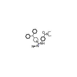 CCN(CC)C(=O)c1ccc(N/C(=N/C#N)N2CCC(C(c3ccccc3)c3ccccc3)CC2)cc1